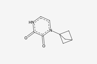 O=c1[nH]ccn(C23CC(C2)C3)c1=O